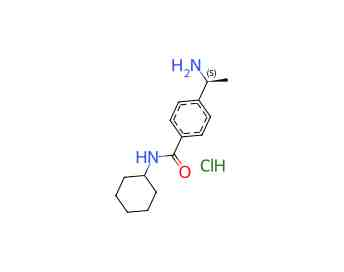 C[C@H](N)c1ccc(C(=O)NC2CCCCC2)cc1.Cl